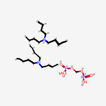 CCCCN(CCCC)CCCC.CCCCN(CCCC)CCCC.O=[PH](O)OCO[PH](=O)O